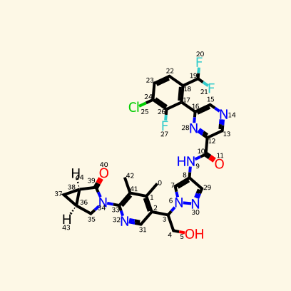 Cc1c(C(CO)n2cc(NC(=O)c3cncc(-c4c(C(F)F)ccc(Cl)c4F)n3)cn2)cnc(N2C[C@H]3C[C@H]3C2=O)c1C